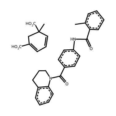 CC1(C(=O)O)C=CC=C(C(=O)O)C1.Cc1ccccc1C(=O)Nc1ccc(C(=O)N2CCCc3ccccc32)cc1